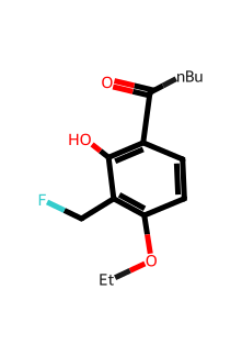 CCCCC(=O)c1ccc(OCC)c(CF)c1O